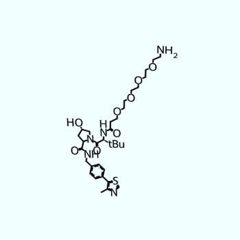 Cc1ncsc1-c1ccc(CNC(=O)C2C[C@@H](O)CN2C(=O)[C@@H](NC(=O)CCOCCOCCOCCOCCN)C(C)(C)C)cc1